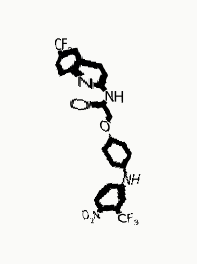 O=C(CO[C@H]1CC[C@H](Nc2ccc([N+](=O)[O-])c(C(F)(F)F)c2)CC1)Nc1ccc2cc(C(F)(F)F)ccc2n1